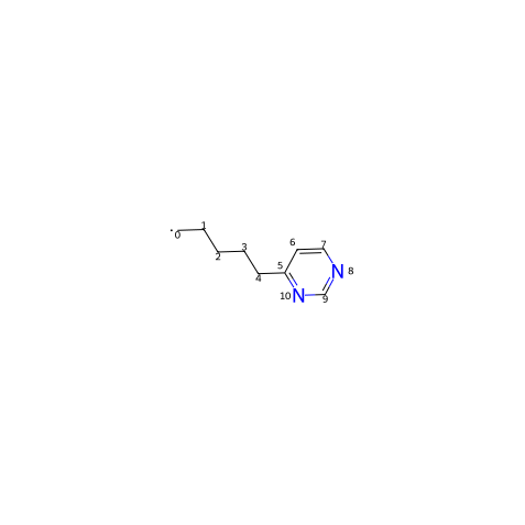 [CH2]CCCCc1ccncn1